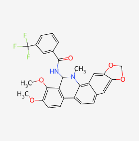 COc1ccc2c(c1OC)C(NC(=O)c1cccc(C(F)(F)F)c1)N(C)c1c-2ccc2cc3c(cc12)OCO3